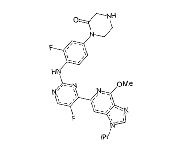 COc1nc(-c2nc(Nc3ccc(N4CCNCC4=O)cc3F)ncc2F)cc2c1ncn2C(C)C